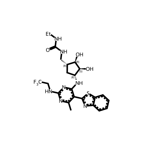 CCNC(=O)NC[C@H]1C[C@@H](Nc2nc(NCC(F)(F)F)nc(C)c2-c2nc3ccccc3s2)[C@H](O)[C@@H]1O